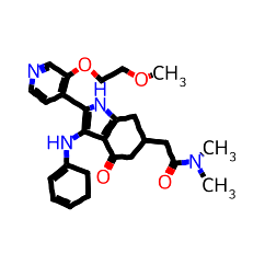 COCCOc1cnccc1-c1[nH]c2c(c1NC1=CC=CCC1)C(=O)CC(CC(=O)N(C)C)C2